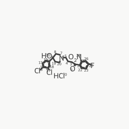 Cl.O=C(CCCN1CCC(O)(c2ccc(Cl)c(Cl)c2)CC1)c1ccc(F)cc1[N+](=O)[O-]